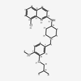 COc1ccc(CN2CCC(Nc3ccc4cccc(Cl)c4n3)CC2)cc1OCC(C)C